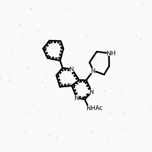 CC(=O)Nc1nc(N2CCNCC2)c2nc(-c3ccccc3)ccc2n1